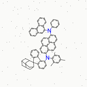 Cc1cc(C)c(N(c2cccc3c2-c2ccccc2C32C3CC4CC(C3)CC2C4)c2ccc3ccc4c(N(c5ccccc5)c5cc6ccccc6c6ccccc56)ccc5ccc2c3c54)c(C)c1